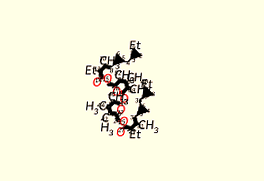 CC[C@H]1C[C@H]1C[C@H]1C[C@H]1C[C@@H](C)[C@@H](CC)C(=O)OCC1OC(OC2OC(COC(=O)[C@H](CC)[C@H](C)C[C@@H]3C[C@@H]3C[C@@H]3C[C@@H]3CC)C(C)C(C)C2C)C(C)C(C)C1C